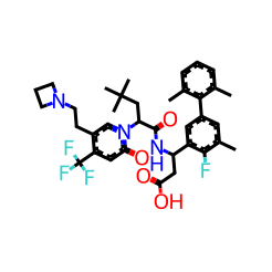 Cc1cc(-c2c(C)cccc2C)cc(C(CC(=O)O)NC(=O)C(CC(C)(C)C)n2cc(CCN3CCC3)c(C(F)(F)F)cc2=O)c1F